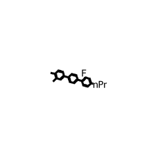 CCCc1ccc(-c2ccc(-c3ccc(C)c(C)c3)cc2)c(F)c1